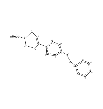 CCCCCCCC1CC=C(c2ccc(OCc3ccccc3)cc2)CC1